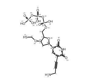 NCC#Cc1cn([C@H]2C[C@@H](OCS)C(COP(=O)(O)OP(=O)(O)OP(=O)(O)O)O2)c(=O)[nH]c1=O